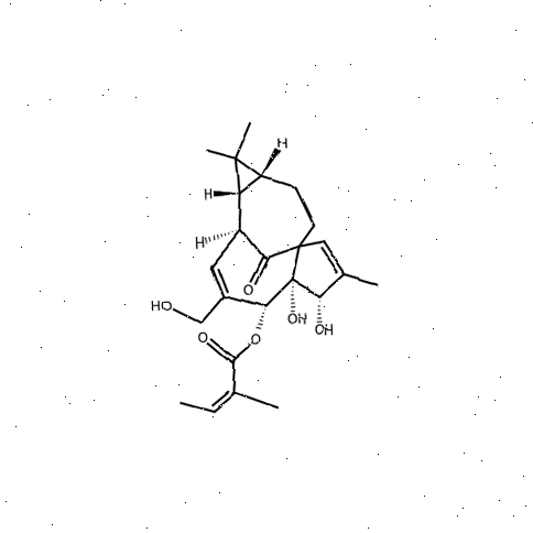 C/C=C(/C)C(=O)O[C@@H]1C(CO)=C[C@@H]2C(=O)C3(C=C(C)[C@H](O)[C@@]13O)CC[C@@H]1[C@H]2C1(C)C